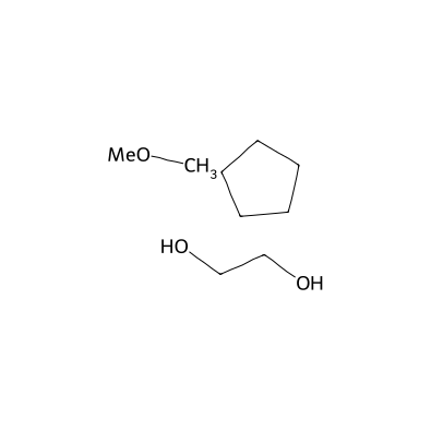 C1CCCC1.COC.OCCO